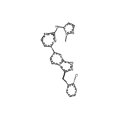 Cn1nccc1Nc1nccc(-c2ccn3c(Cc4ccccc4Cl)nnc3c2)n1